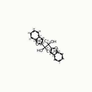 O=C(O)C(O)(c1cc2ccccc2o1)C(O)(C(=O)O)c1cc2ccccc2o1